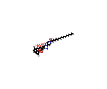 CCCCCCCCC=CCCCCCCCC(=O)N1CCC(NC(=O)C[C@H](O)C[C@@H](O)CCC2C(C)C=CC3=CC(C)CC(OC(=O)C(C)(C)CC)C32)CC1